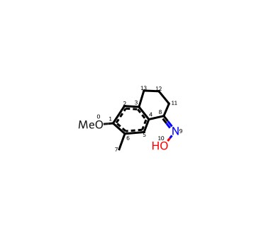 COc1cc2c(cc1C)/C(=N\O)CCC2